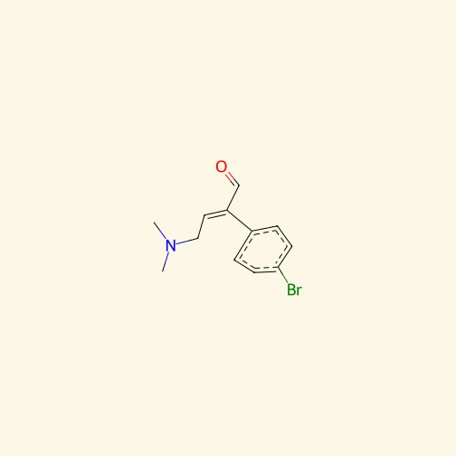 CN(C)C/C=C(/C=O)c1ccc(Br)cc1